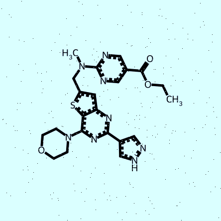 CCOC(=O)c1cnc(N(C)Cc2cc3nc(-c4cn[nH]c4)nc(N4CCOCC4)c3s2)nc1